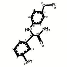 CCCc1cccc(C(Nc2ccc(OCC)cc2)C(N)=O)c1